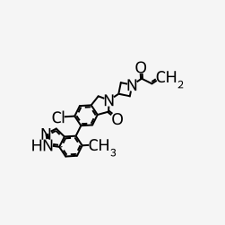 C=CC(=O)N1CC(N2Cc3cc(Cl)c(-c4c(C)ccc5[nH]ncc45)cc3C2=O)C1